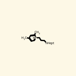 CCCCCCCCCC[PH]1=CC=C(C)C=C1C